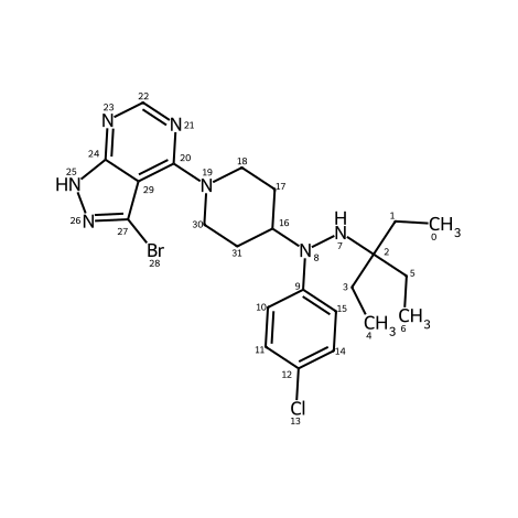 CCC(CC)(CC)NN(c1ccc(Cl)cc1)C1CCN(c2ncnc3[nH]nc(Br)c23)CC1